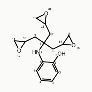 Oc1ccccc1NC(CC1CO1)(CC1CO1)CC1CO1